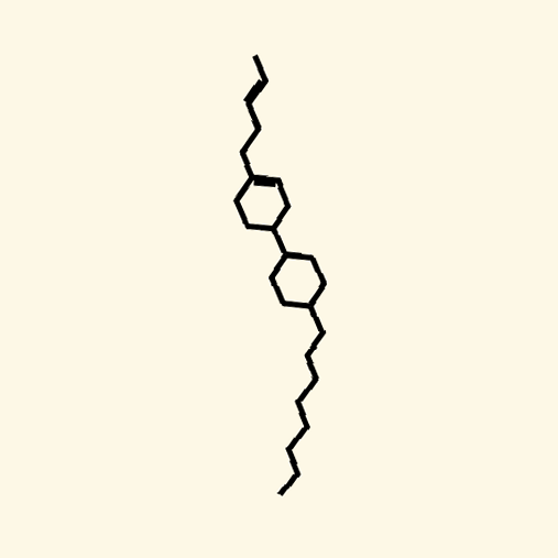 CC=CCCC1=CCC(C2CCC(CCCCCCCC)CC2)CC1